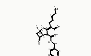 O=CC(CC=CCO)=C1O[C@@H]2CC(=O)N2C1C(=O)OCc1ccccc1